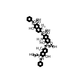 CC1=C(N=Nc2c(S(=O)(=O)O)cc3cc(OS(=O)O)c(/N=N/c4ccc5c(O)c(N=Nc6ccccc6)c(SOOO)cc5c4C)c(O)c3c2N)C=CC2C(O)=C(N=Nc3ccccc3)C(S(=O)(=O)O)=CC12